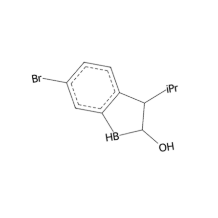 CC(C)C1c2ccc(Br)cc2BC1O